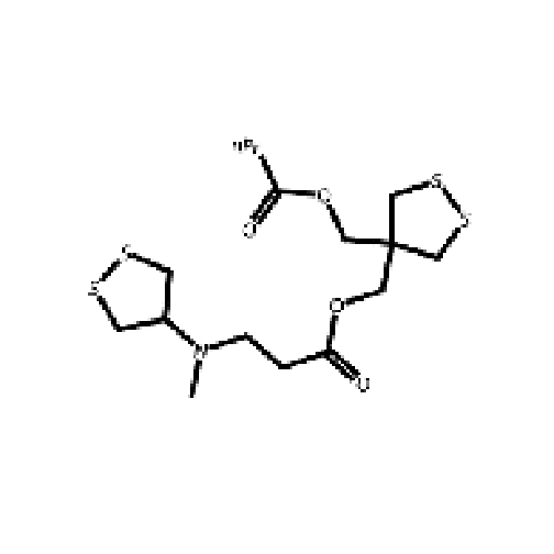 CCCC(=O)OCC1(COC(=O)CCN(C)C2CSSC2)CSSC1